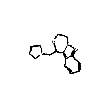 c1ccc2c3n(nc2c1)CCOC3CN1CCCC1